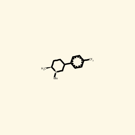 C[C@H]1CCC(c2ccc(C(F)(F)F)cc2)CN1C(C)(C)C